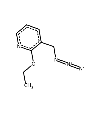 CCOc1ncccc1CN=[N+]=[N-]